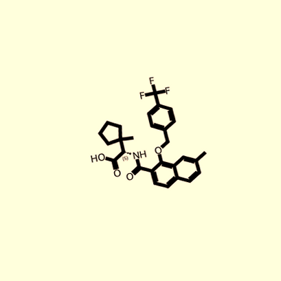 Cc1ccc2ccc(C(=O)N[C@H](C(=O)O)C3(C)CCCC3)c(OCc3ccc(C(F)(F)F)cc3)c2c1